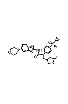 O=C(Nc1nc2ccc(N3CCOCC3)cc2s1)[C@H](CC1CC(F)C(F)C1)c1ccc(S(=O)(=O)C2CC2)cc1